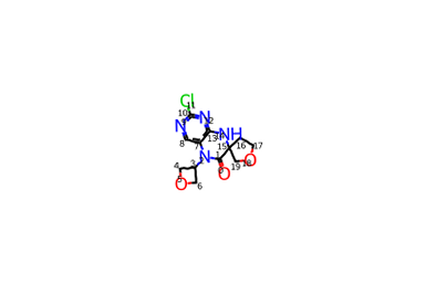 O=C1N(C2COC2)c2cnc(Cl)nc2NC12CCOC2